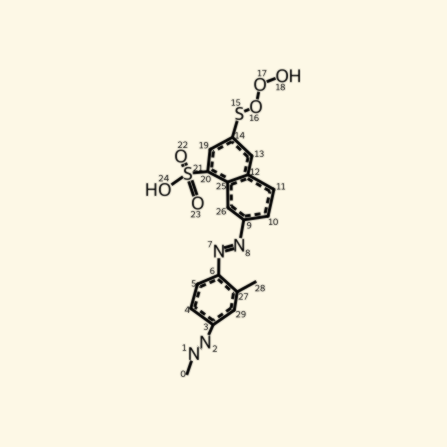 CN=Nc1ccc(N=Nc2ccc3cc(SOOO)cc(S(=O)(=O)O)c3c2)c(C)c1